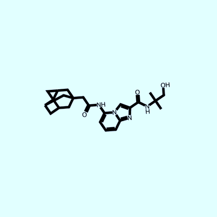 CC(C)(CO)NC(=O)c1cn2c(NC(=O)CC34CC5CC(C3)C53CC3C4)cccc2n1